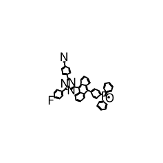 N#Cc1ccc(-c2nc(-c3ccc(F)cc3)nc(-c3c4ccccc4c(-c4ccc(P(=O)(c5ccccc5)c5ccccc5)cc4)c4ccccc34)n2)cc1